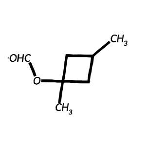 CC1CC(C)(O[C]=O)C1